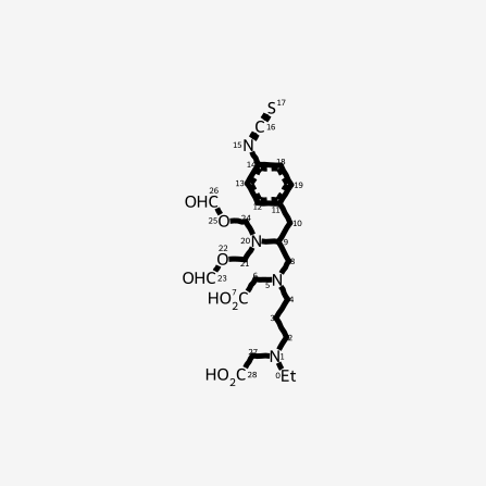 CCN(CCCN(CC(=O)O)CC(Cc1ccc(N=C=S)cc1)N(COC=O)COC=O)CC(=O)O